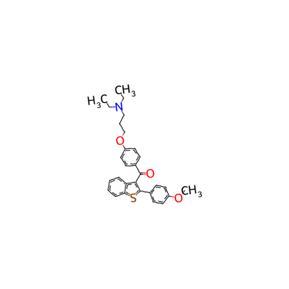 CCN(CC)CCCOc1ccc(C(=O)c2c(-c3ccc(OC)cc3)sc3ccccc23)cc1